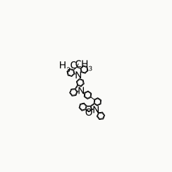 CC1(C)c2ccccc2N(c2ccc3c(c2)c2ccccc2n3-c2ccc(-c3cccc4c3c3c5ccccc5oc3n4-c3ccccc3)cc2)c2ccccc21